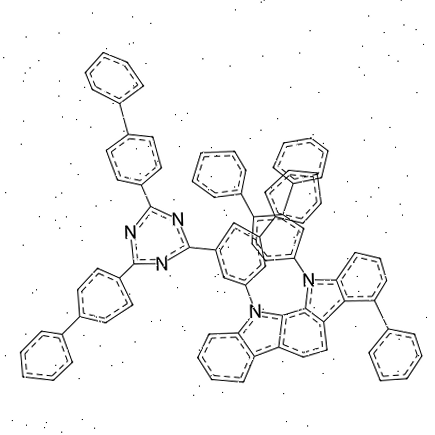 c1ccc(-c2ccc(-c3nc(-c4ccc(-c5ccccc5)cc4)nc(-c4cc(-c5ccccc5)cc(-n5c6ccccc6c6ccc7c8c(-c9ccccc9)cccc8n(-c8ccc(-c9ccccc9)c(-c9ccccc9)c8)c7c65)c4)n3)cc2)cc1